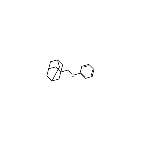 [CH](Oc1ccccc1)C12CC3CC(CC(C3)C1)C2